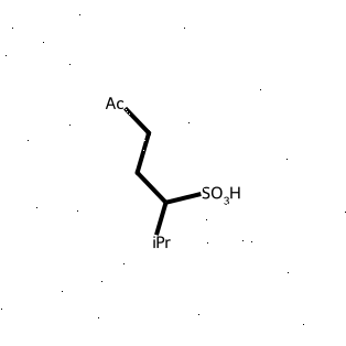 CC(=O)CCC(C(C)C)S(=O)(=O)O